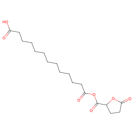 O=C(O)CCCCCCCCCCCC(=O)OC(=O)C1CCC(=O)O1